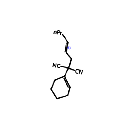 CCC/C=C/CC(C#N)(C#N)C1=CCCCC1